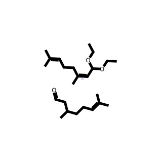 CC(C)=CCCC(C)CC=O.CCOC(/C=C(/C)CCC=C(C)C)OCC